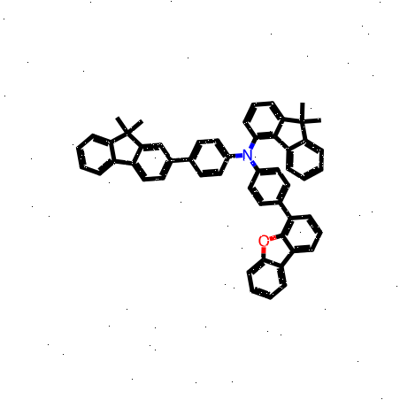 CC1(C)c2ccccc2-c2ccc(-c3ccc(N(c4ccc(-c5cccc6c5oc5ccccc56)cc4)c4cccc5c4-c4ccccc4C5(C)C)cc3)cc21